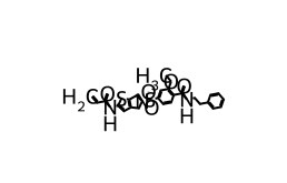 C=CC(=O)Nc1cc2c(s1)CN(S(=O)(=O)c1ccc(C(=O)NCCc3ccccc3)c(OC)c1)C2